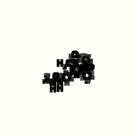 C[C@H]1COCCN1c1nc(-c2ccc(NC(=O)NC3CC3)cc2)nc(-c2ccccc2S(=O)(=O)N2CCCC2)n1